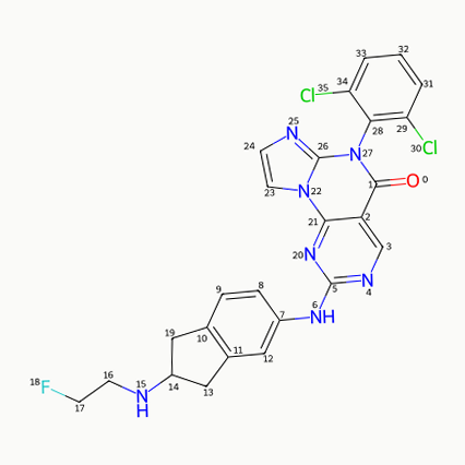 O=c1c2cnc(Nc3ccc4c(c3)CC(NCCF)C4)nc2n2ccnc2n1-c1c(Cl)cccc1Cl